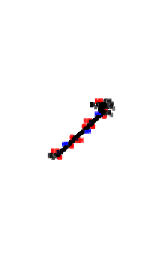 CC(=O)N(O)CCCCCNC(=O)CCC(=O)N(O)CCCCCNC(=O)CCC(=O)N(O)CCCCCNC(=O)[C@]1(C)CCc2c(C)c(O)c(C)c(C)c2O1